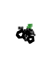 Cc1cccc(C)[c]1[Ti]([CH3])([CH3])([CH3])([CH3])([CH3])[C]1=CC=CC1.Cl.Cl